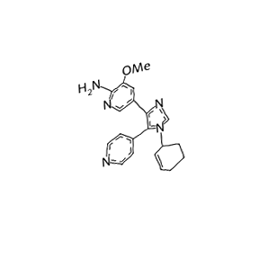 COc1cc(-c2ncn(C3C=CCCC3)c2-c2ccncc2)cnc1N